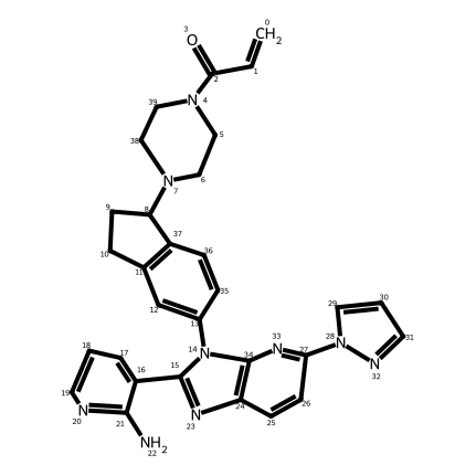 C=CC(=O)N1CCN(C2CCc3cc(-n4c(-c5cccnc5N)nc5ccc(-n6cccn6)nc54)ccc32)CC1